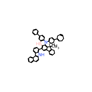 CC1(C)C2=C(C=CCC2)c2cc(-c3cccc4c3[nH]c3ccc5ccccc5c34)c3c(c21)N(C1=CC=C(C2=CCCC#CC2)CC1)c1ccc(-c2ccccc2)cc1B3